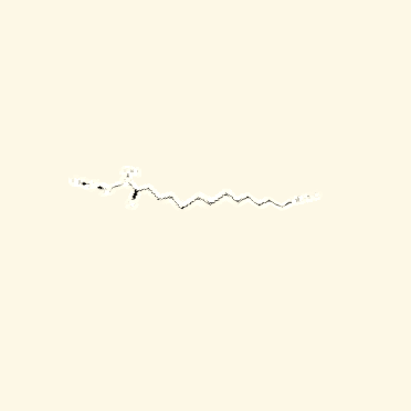 CCCCCCCCCCCCCCCCCCCCCCC(=O)N(O)N=C=O